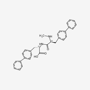 CN[C@@H](Cc1ccc(-c2ccccc2)cc1)C(=O)N[C@@H](Cc1ccc(-c2ccccc2)cc1)C(=O)O